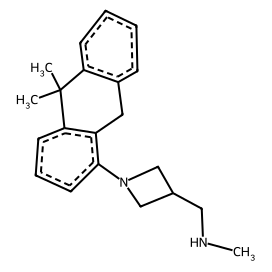 CNCC1CN(c2cccc3c2Cc2ccccc2C3(C)C)C1